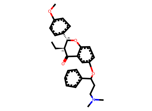 CC[C@@H]1C(=O)c2cc(OC(CCN(C)C)c3ccccc3)ccc2O[C@H]1c1ccc(OC)cc1